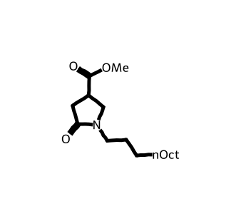 CCCCCCCCCCCN1CC(C(=O)OC)CC1=O